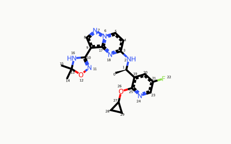 C[C@@H](Nc1ccn2ncc(C3=NOC(C)(C)N3)c2n1)c1cc(F)cnc1OC1CC1